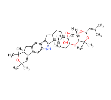 CC(C)=CC1O[C@@H]2C(OC3CC[C@]4(C)[C@@]5(C)c6[nH]c7cc8c(cc7c6CC5CC[C@@]4(O)C34O[C@@H]24)CC2C8=CC(C)(C)OC2(C)C)C(C)(C)O1